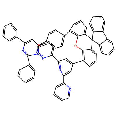 c1ccc(-c2cc(-c3ccc(-c4cccc5c4Oc4c(-c6cc(-c7ccccn7)nc(-c7ccccn7)c6)cccc4C54c5ccccc5-c5ccccc54)cc3)nc(-c3ccccc3)n2)cc1